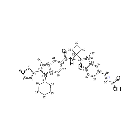 Cc1c(-c2ccoc2)n(C2CCCCC2)c2ccc(C(=O)NC3(c4nc5ccc(/C=C/C(=O)O)cc5n4C)CCC3)cc12